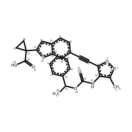 Cc1noc(C#Cc2ccc3cc(C4(C(=O)O)CC4)sc3c2)c1NC(=O)OC(C)c1ccccc1